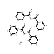 O=C(CC(=O)c1ccccc1)c1ccccc1.O=C(CC(=O)c1ccccc1)c1ccccc1.[Cu]